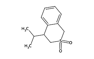 CC(C)C1CS(=O)(=O)Cc2ccccc21